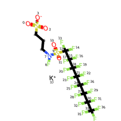 O=S(=O)([O-])CCCN(F)S(=O)(=O)C(F)(F)C(F)(F)C(F)(F)C(F)(F)C(F)(F)C(F)(F)C(F)(F)C(F)(F)F.[K+]